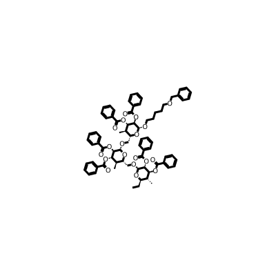 CC[C@H]1O[C@@H](OC[C@H]2O[C@@H](OC[C@H]3O[C@@H](OCCCCCOCc4ccccc4)[C@H](OC(=O)c4ccccc4)[C@@H](OC(=O)c4ccccc4)[C@@H]3C)[C@H](OC(=O)c3ccccc3)[C@@H](OC(=O)c3ccccc3)[C@@H]2C)[C@H](OC(=O)c2ccccc2)[C@@H](OC(=O)c2ccccc2)[C@@H]1C